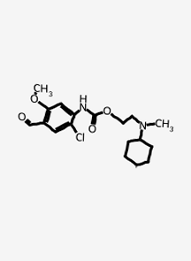 COc1cc(NC(=O)OCCN(C)C2CC[CH]CC2)c(Cl)cc1C=O